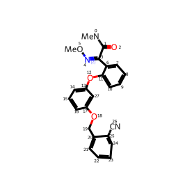 CNC(=O)/C(=N\OC)c1ccccc1Oc1cccc(OCc2ccccc2C#N)c1